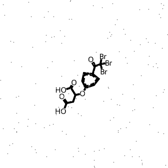 O=C(O)CC(Oc1ccc(C(=O)C(Br)(Br)Br)cc1)C(=O)O